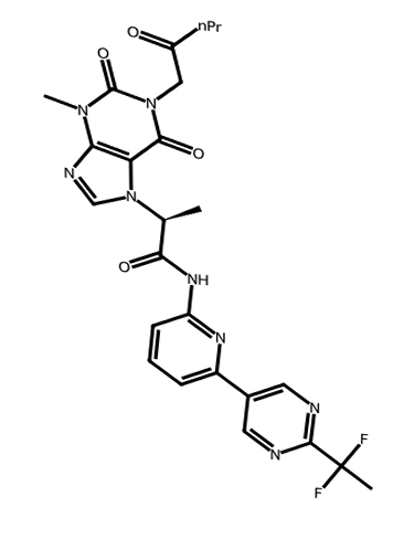 CCCC(=O)Cn1c(=O)c2c(ncn2[C@@H](C)C(=O)Nc2cccc(-c3cnc(C(C)(F)F)nc3)n2)n(C)c1=O